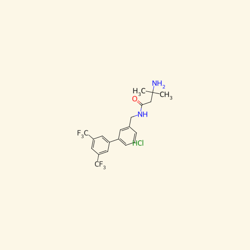 CC(C)(N)CC(=O)NCc1cccc(-c2cc(C(F)(F)F)cc(C(F)(F)F)c2)c1.Cl